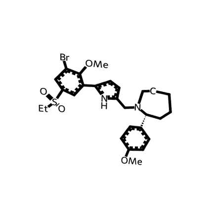 CCS(=O)(=O)c1cc(Br)c(OC)c(-c2ccc(CN3CCCCC[C@@H]3c3ccc(OC)cc3)[nH]2)c1